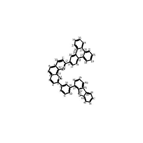 c1cc(-c2ccc3ccc4ccc(-c5ccc6c7ccccc7c7ccccc7c6c5)nc4c3n2)cc(-c2cccc3c2sc2ccccc23)c1